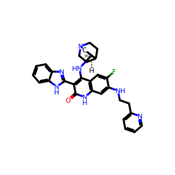 O=c1[nH]c2cc(NCCc3ccccn3)c(F)cc2c(N[C@H]2CN3CCC2CC3)c1-c1nc2ccccc2[nH]1